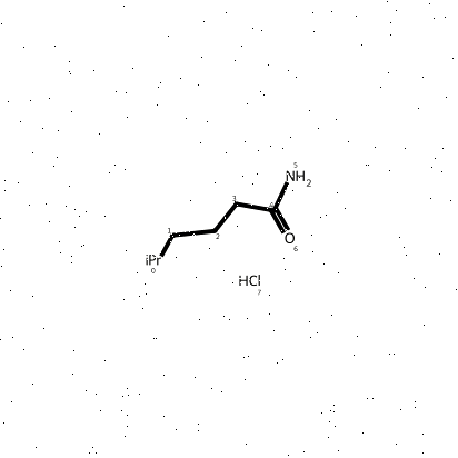 CC(C)CCCC(N)=O.Cl